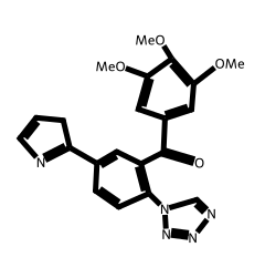 COc1cc(C(=O)c2cc(C3=NC=CC3)ccc2-n2cnnn2)cc(OC)c1OC